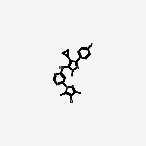 Cc1nn(-c2cc(Nc3c(C4CC4)c(-c4ccc(F)cc4)nn3C)ncn2)c(C)c1Cl